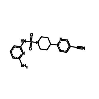 N#Cc1ccc(C2CCN(S(=O)(=O)Nc3cccc(N)n3)CC2)nc1